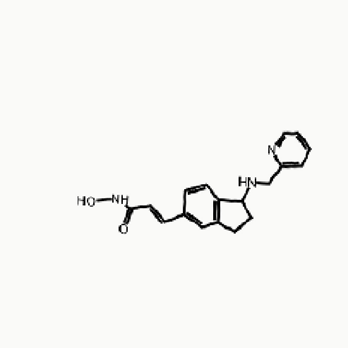 O=C(C=Cc1ccc2c(c1)CCC2NCc1ccccn1)NO